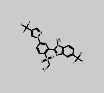 CCS(=O)(=O)c1ccc(-n2cc(C(F)(F)F)cn2)nc1-c1nc2cc(C(F)(F)F)ccc2n1C